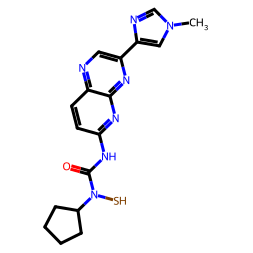 Cn1cnc(-c2cnc3ccc(NC(=O)N(S)C4CCCC4)nc3n2)c1